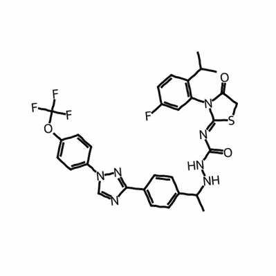 CC(C)c1ccc(F)cc1N1C(=O)CS/C1=N\C(=O)NNC(C)c1ccc(-c2ncn(-c3ccc(OC(F)(F)F)cc3)n2)cc1